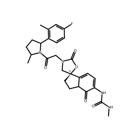 CNC(=O)NC1=CC=C2C(CC[C@]23CN(CC(=O)N2C(C)CCC2c2ccc(F)cc2C)C(=O)O3)C1=O